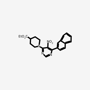 CCOC(=O)C1CCN(c2ncnc(-c3ccc4ccccc4c3)c2[N+](=O)[O-])CC1